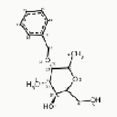 CC1OC(CO)[C@@H](O)[C@H](C)[C@@H]1OCc1ccccc1